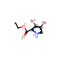 CCOC(=O)c1[nH]cc(Br)c1Br